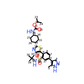 Cc1[nH]ncc1-c1ccc(-c2cnc([C@H]3CC[C@H](NC(=O)OC(C)C)CC3)s2)c(S(=O)(=O)NC(C)(C)C)c1